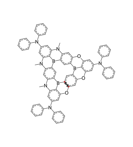 CN1c2cc3c(cc2B2c4ccccc4Oc4cc(N(c5ccccc5)c5ccccc5)cc1c42)B1c2cc4c(cc2N(C)c2cc(N(c5ccccc5)c5ccccc5)cc(c21)N3C)Oc1cc(N(c2ccccc2)c2ccccc2)cc2c1B4c1ccccc1O2